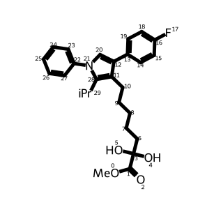 COC(=O)C(O)(O)CCCCCc1c(-c2ccc(F)cc2)cn(-c2ccccc2)c1C(C)C